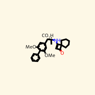 COc1cc(C[C@](C)(NC2=CC(=O)C23CCCCC3)C(=O)O)cc(OC)c1-c1ccccc1